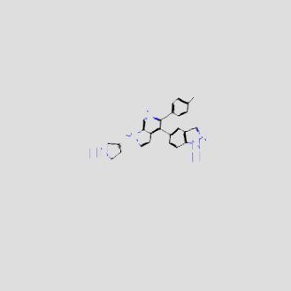 Cc1ccc(-c2ncc3c(ccn3C[C@@H]3CCNC3)c2-c2ccc3[nH]ncc3c2)cc1